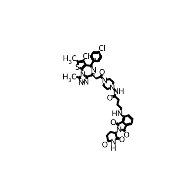 Cc1sc2c(c1C)C(c1ccc(Cl)cc1)=N[C@@H](CC(=O)N1CCN(NC(=O)CCCNc3cccc4c3C(=O)N(C3CCC(=O)NC3=O)C4=O)CC1)c1nnc(C)n1-2